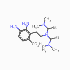 CCC(N(C)C)N(CCc1c(C(=O)O)ccc(N)c1N)C(CC)N(C)C